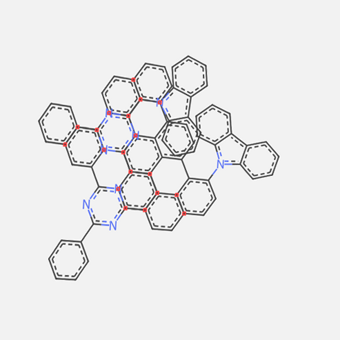 c1ccc(-c2nc(-c3ccccc3)nc(-c3ccccc3-c3ccc(-c4ccccc4-n4c5ccccc5c5ccccc54)c4c(-c5ccccc5-c5nc(-c6ccccc6)nc(-c6ccccc6)n5)ccc(-c5ccccc5-n5c6ccccc6c6ccccc65)c34)n2)cc1